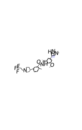 CN/C=C(\C=N)c1cc(OC)cc([C@@H](C)NC(=O)c2cc(C3CCN(CCC(F)(F)F)CC3)ccc2C)c1